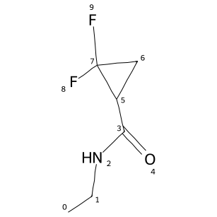 CCNC(=O)C1CC1(F)F